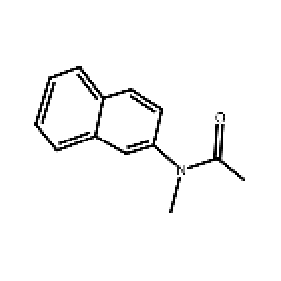 CC(=O)N(C)c1ccc2ccccc2c1